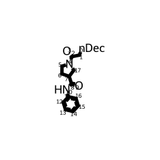 CCCCCCCCCCCC(=O)N1CCC(C(=O)Nc2ccccc2)C1